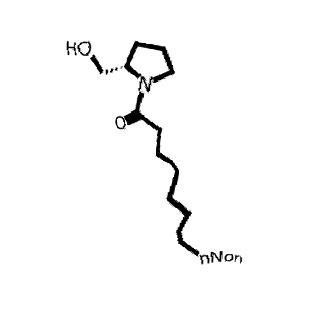 CCCCCCCCCCCCCCCC(=O)N1CCC[C@H]1CO